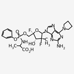 CC(NP(=O)(OC[C@@]1(F)O[C@@H](n2cnc3c(N4CCCC4)nc(N)nc32)[C@](C)(F)[C@@H]1O)Oc1ccccc1)C(=O)O